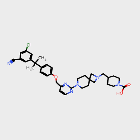 CC(C)(c1ccc(OCc2ccnc(N3CCC4(CC3)CN(CC3CCN(C(=O)O)CC3)C4)n2)cc1)c1cc(Cl)cc(C#N)c1